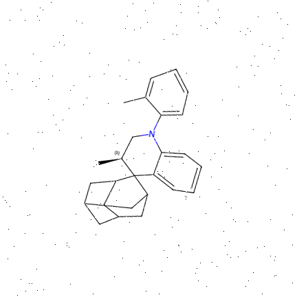 Cc1ccccc1N1C[C@H](C)C2(c3ccccc31)C1CC3CC(C1)CC2C3